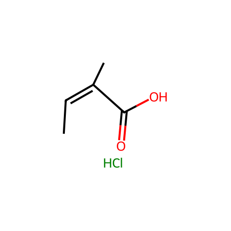 CC=C(C)C(=O)O.Cl